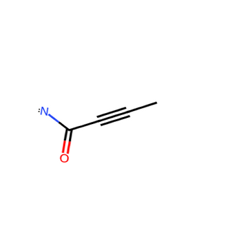 CC#CC([N])=O